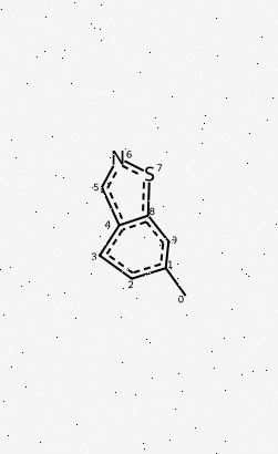 Cc1ccc2[c]nsc2c1